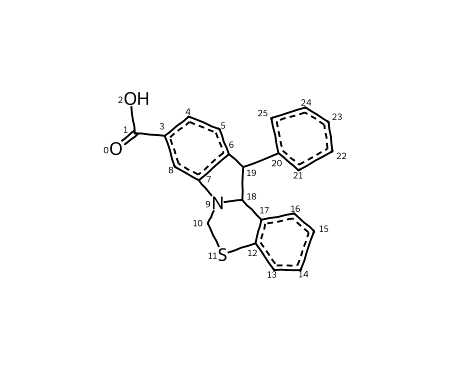 O=C(O)c1ccc2c(c1)N1CSc3ccccc3C1C2c1ccccc1